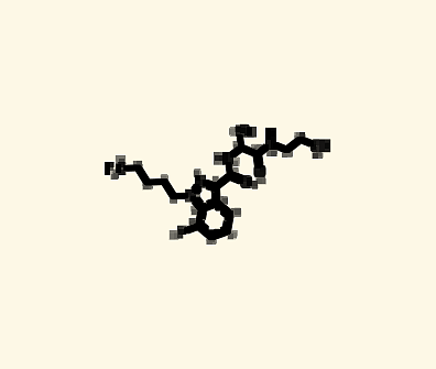 CC(C)(C)C(NC(=O)c1nn(CCCCC(F)(F)F)c2c(F)cccc12)C(=O)NCCO